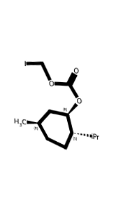 CC(C)[C@@H]1CC[C@@H](C)C[C@H]1OC(=O)OCI